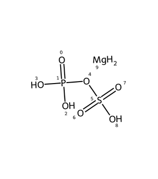 O=P(O)(O)OS(=O)(=O)O.[MgH2]